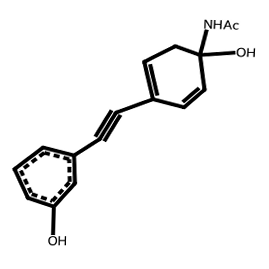 CC(=O)NC1(O)C=CC(C#Cc2cccc(O)c2)=CC1